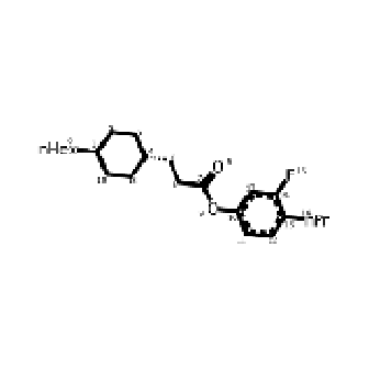 CCCCCC[C@H]1CC[C@H](CCC(=O)Oc2ccc(CCC)c(F)c2)CC1